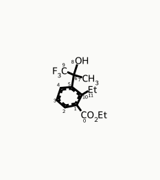 CCOC(=O)c1cccc(C(C)(O)C(F)(F)F)c1CC